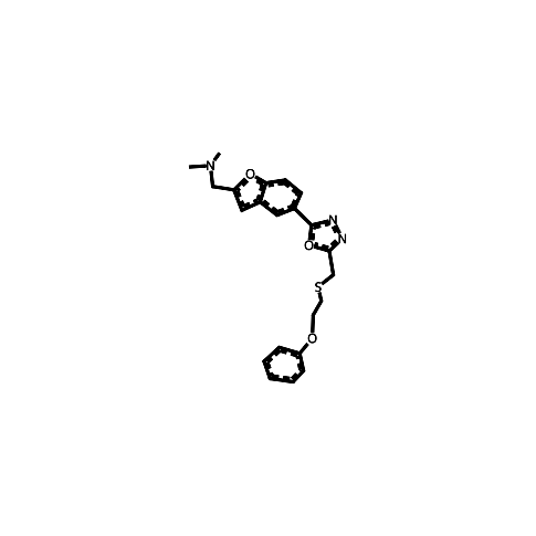 CN(C)Cc1cc2cc(-c3nnc(CSCCOc4ccccc4)o3)ccc2o1